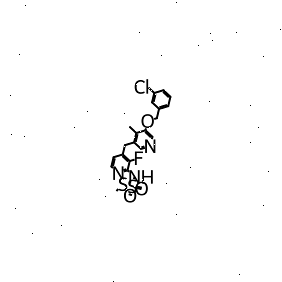 CSS(=O)(=O)Nc1nccc(Cc2cncc(OCc3cccc(Cl)c3)c2C)c1F